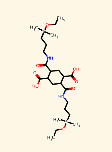 CCO[Si](C)(C)CCCNC(=O)C1CC(C(=O)O)C(C(=O)NCCC[Si](C)(C)OCC)CC1C(=O)O